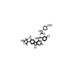 COc1cc2c(cc1C1=C(C)ONC1(C)C)[nH]c1nc(C)nc(N[C@H](CC(=O)N[C@H]3CC[C@H](O)CC3)c3cccc(Cl)c3)c12